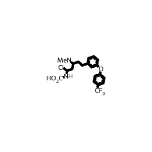 CNC(CCc1cccc(Oc2ccc(C(F)(F)F)cc2)c1)CC(Cl)NC(=O)O